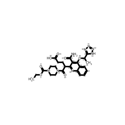 CCOC(=O)N1CCN(C(=O)C(CCC(=O)O)c2nc3ccccc3c(OC(C)c3nnn[nH]3)c2C(N)=O)CC1